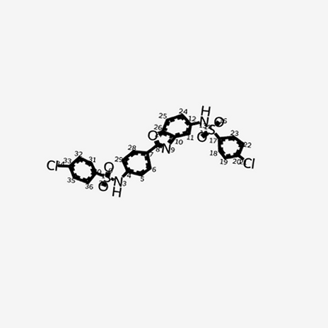 O=S(=O)(Nc1ccc(-c2nc3cc(NS(=O)(=O)c4ccc(Cl)cc4)ccc3o2)cc1)c1ccc(Cl)cc1